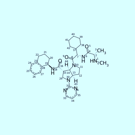 CN[C@@H](C)C(=O)N[C@H](C(=O)N1CC[C@@H]2[C@H]1[C@@H](C(=O)N[C@@H]1CCCc3ccccc31)CN2c1ncccn1)C1CCCCC1